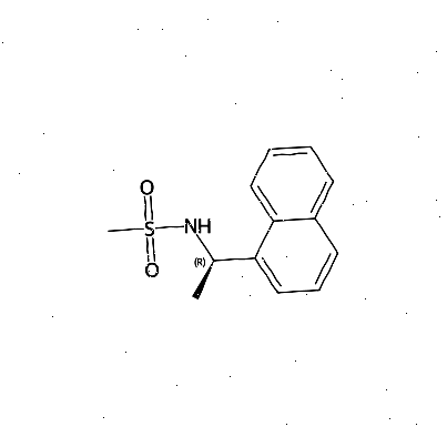 C[C@@H](NS(C)(=O)=O)c1cccc2ccccc12